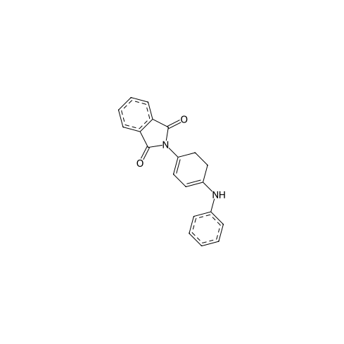 O=C1c2ccccc2C(=O)N1C1=CC=C(Nc2ccccc2)CC1